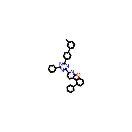 Cc1cccc(-c2ccc(-c3nc(-c4ccccc4)nc(-c4ccc5c(n4)oc4cccc(-c6ccccc6)c45)n3)cc2)c1